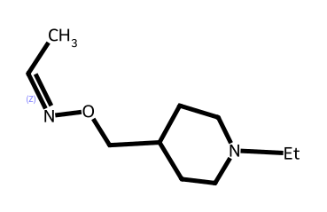 C/C=N\OCC1CCN(CC)CC1